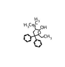 CCC(=O)C(C[C@H](CO)N(C)C)(c1ccccc1)c1ccccc1